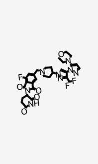 O=C1CCC(N2C(=O)c3cc(CN4CCC(n5cc(-n6nccc6N6CCOCC6)c(C(F)F)n5)CC4)cc(F)c3C2=O)C(=O)N1